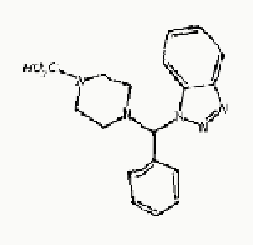 O=C(O)N1CCN(C(c2ccccc2)n2nnc3ccccc32)CC1